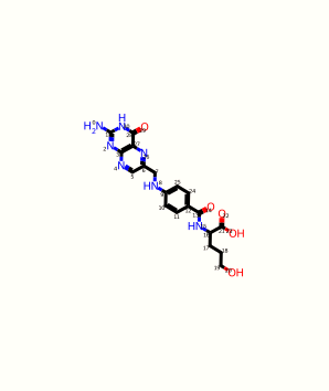 Nc1nc2ncc(CNc3ccc(C(=O)NC(CCCO)C(=O)O)cc3)nc2c(=O)[nH]1